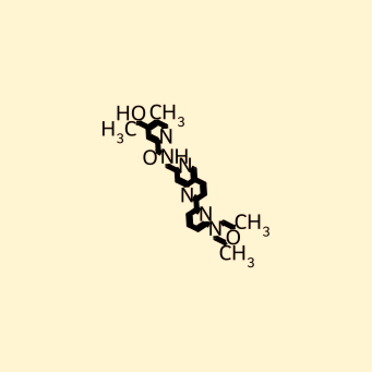 Cc1cnc(C(=O)NCc2cc3nc(-c4cccc(N5C[C@@H](C)O[C@@H](C)C5)n4)ccc3cn2)cc1[C@H](C)O